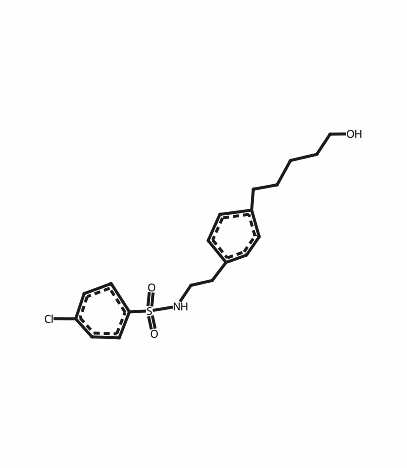 O=S(=O)(NCCc1ccc(CCCCCO)cc1)c1ccc(Cl)cc1